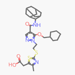 Cc1nc(SCCn2ncc(C(=O)NC3C4CC5CC(C4)CC3C5)c2OCC2CCCCC2)sc1CC(=O)O